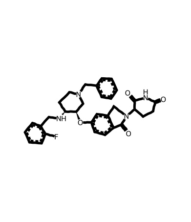 O=C1CCC(N2Cc3cc(O[C@@H]4CN(Cc5ccccc5)CC[C@H]4NCc4ccccc4F)ccc3C2=O)C(=O)N1